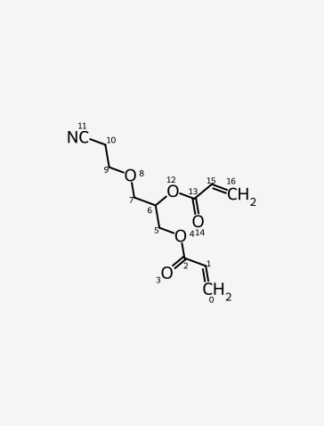 C=CC(=O)OCC(COCCC#N)OC(=O)C=C